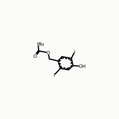 CC(C)(C)C(=O)OCc1cc(I)c(O)cc1I